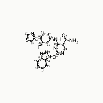 NC(=O)c1cnc(On2nnc3ccccc32)nc1Nc1ccc(-c2cscn2)c(F)c1